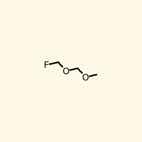 COCOCF